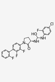 O=C1[C@H](NC(O)Nc2ccc(Cl)cc2F)CCN1c1ccc(-c2ccccc2F)c(F)c1F